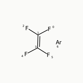 FC(F)=C(F)F.[Ar]